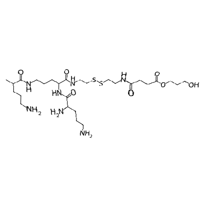 CC(CCCN)C(=O)NCCCC(NC(=O)C(N)CCCN)C(=O)NCCSSCCNC(=O)CCC(=O)OCCCO